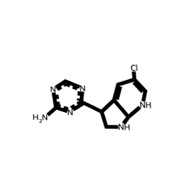 Nc1ncnc(C2CNC3NC=C(Cl)C=C32)n1